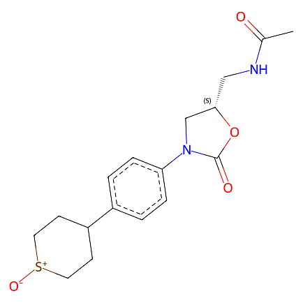 CC(=O)NC[C@H]1CN(c2ccc(C3CC[S+]([O-])CC3)cc2)C(=O)O1